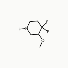 COC1CN(I)CCC1(F)F